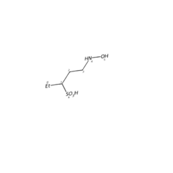 CCC(CCNO)S(=O)(=O)O